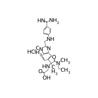 CCN(C)C(=O)C(C)(NCC(=O)O)c1ccc2c(c1)nc(CNc1ccc(C(=N)N)cc1)n2C.Cl